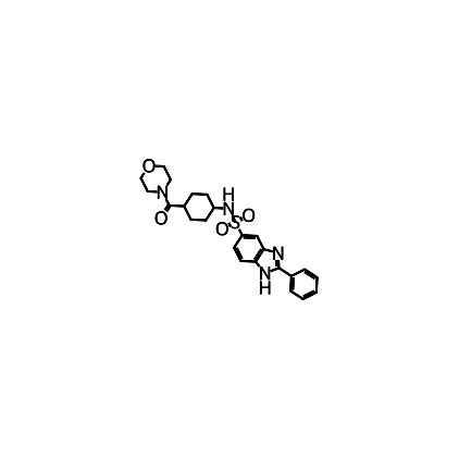 O=C(C1CCC(NS(=O)(=O)c2ccc3[nH]c(-c4ccccc4)nc3c2)CC1)N1CCOCC1